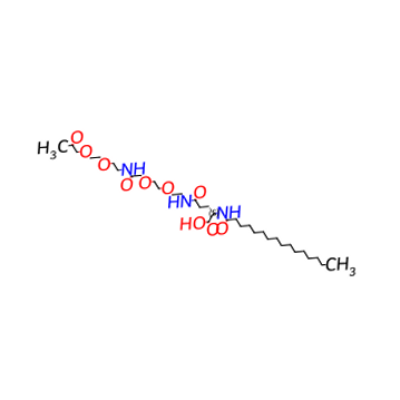 CCCCCCCCCCCCCCCC(=O)N[C@@H](CCC(=O)NCCOCCOCC(=O)NCCOCCOCC(C)=O)C(=O)O